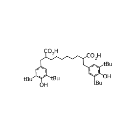 CC(C)(C)c1cc(CC(CCCCCCC(Cc2cc(C(C)(C)C)c(O)c(C(C)(C)C)c2)C(=O)O)C(=O)O)cc(C(C)(C)C)c1O